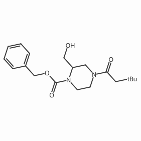 CC(C)(C)CC(=O)N1CCN(C(=O)OCc2ccccc2)C(CO)C1